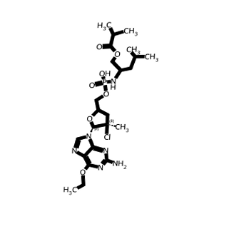 CCOc1nc(N)nc2c1ncn2[C@@H]1OC(COP(=O)(O)NC(COC(=O)C(C)C)CC(C)C)C[C@@]1(C)Cl